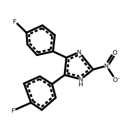 O=[N+]([O-])c1nc(-c2ccc(F)cc2)c(-c2ccc(F)cc2)[nH]1